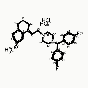 COc1ccc2c(c1)C(=CCN1CCN(C(c3ccc(F)cc3)c3ccc(F)cc3)CC1)CCC2.Cl.Cl